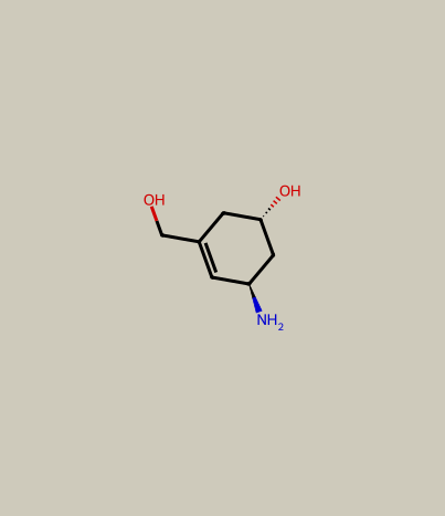 N[C@H]1C=C(CO)C[C@H](O)C1